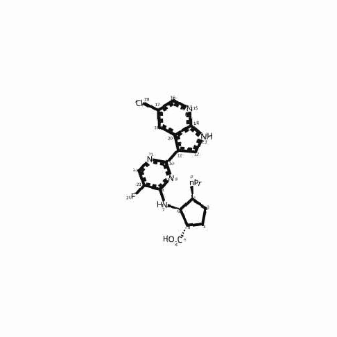 CCC[C@H]1CC[C@H](C(=O)O)[C@H]1Nc1nc(-c2c[nH]c3ncc(Cl)cc23)ncc1F